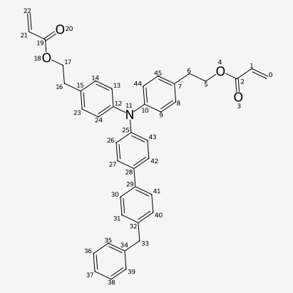 C=CC(=O)OCCc1ccc(N(c2ccc(CCOC(=O)C=C)cc2)c2ccc(-c3ccc(Cc4ccccc4)cc3)cc2)cc1